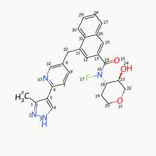 Cc1n[nH]cc1-c1ccc(Cc2cc(C(=O)N(F)[C@H]3CCOC[C@@H]3O)cc3ccccc23)cn1